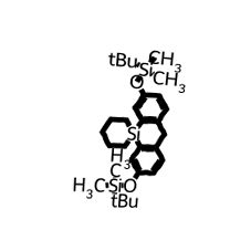 CC(C)(C)[Si](C)(C)Oc1ccc2c(c1)[Si]1(CCCCC1)c1cc(O[Si](C)(C)C(C)(C)C)ccc1C2